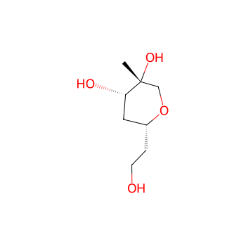 C[C@@]1(O)CO[C@H](CCO)C[C@@H]1O